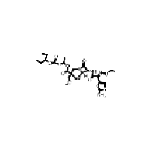 CCON=C(C(=O)NC1C(=O)N2CC(COC)(C(=O)OC(C)OC(=O)OC(CC)CC)CS[C@H]12)c1csc(N)n1